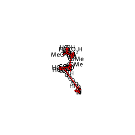 C=C1C[C@H]2C(O)N(C(=O)OCc3ccc(O[C@@H]4O[C@H](C(=O)O)[C@@H](O)[C@H](O)[C@H]4O)c(C(=O)NCCCNC(=O)CCOCCOCCOCCOCCC(=O)NCCC(=O)N4Cc5ccccc5-c5nnn(C)c5-c5ccccc54)c3)c3cc(OCCCCCOc4cc5c(cc4OC)C(=O)N4CC(=C)C[C@H]4C(O)N5C(=O)OCc4ccc(O[C@@H]5O[C@H](C(=O)O)[C@@H](O)[C@H](O)[C@H]5O)c(C(=O)NCCOC)c4)c(OC)cc3C(=O)N2C1